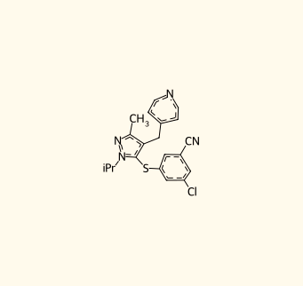 Cc1nn(C(C)C)c(Sc2cc(Cl)cc(C#N)c2)c1Cc1ccncc1